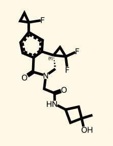 CC1(O)CC(NC(=O)CN2C[C@@]3(CC3(F)F)c3cc(C4(F)CC4)ccc3C2=O)C1